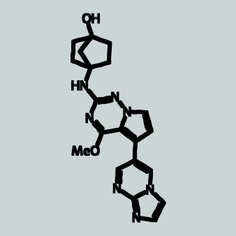 COc1nc(NC23CCC(O)(CC2)C3)nn2ccc(-c3cnc4nccn4c3)c12